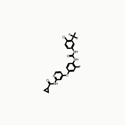 CC(F)(F)c1cc(NC(=O)Nc2ccc(Oc3ccnc(NC(=O)C4CC4)c3)cc2F)ccc1Cl